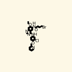 CCOc1cc2ncnc(Nc3ccc(OCc4ccccn4)c(Cl)c3)c2cc1NC(=O)/C=C/CBr